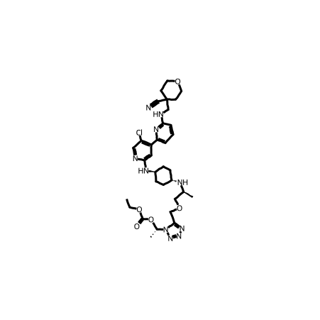 CCOC(=O)O[C@@H](C)n1nnnc1COC[C@H](C)N[C@H]1CC[C@H](Nc2cc(-c3cccc(NCC4(C#N)CCOCC4)n3)c(Cl)cn2)CC1